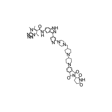 CC1=C(C(=O)Nc2ccc3[nH]nc(-c4ccnc(N5CCN(CC6CCN(C7CCN(c8ccc9c(c8)C(=O)N(C8CCC(=O)NC8=O)C9=O)CC7)CC6)CC5)c4)c3c2)[C@@H](C)n2nnnc2N1C